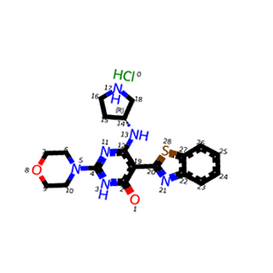 Cl.O=c1[nH]c(N2CCOCC2)nc(N[C@@H]2CCNC2)c1-c1nc2ccccc2s1